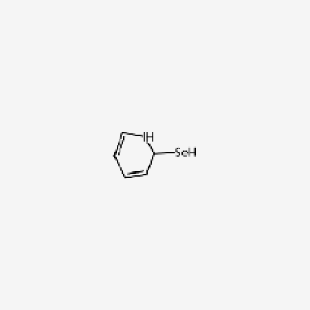 [SeH]C1C=CC=C[IH]1